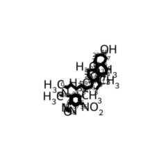 CC(CCC[C@@H](C)[C@H]1CC[C@@]2(C)[C@]3(C)CC=C4CC(O)CC[C@]4(C)[C@@]3(C)CC[C@]12C)N(C)c1ccc([N+](=O)[O-])c2nonc12